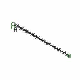 ClCCCCCCCCCCCCCCCCCCCCCCCCCCCCCCCCCCCCCCC[SiH](Cl)Cl